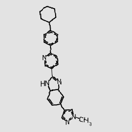 Cn1cc(C2=CC3N=C(c4ccc(-c5ccc(C6CCCCC6)cc5)nc4)NC3C=C2)cn1